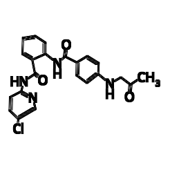 CC(=O)CNc1ccc(C(=O)Nc2ccccc2C(=O)Nc2ccc(Cl)cn2)cc1